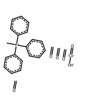 C[P+](c1ccccc1)(c1ccccc1)c1ccccc1.[C]=O.[C]=O.[C]=O.[C]=O.[O]=[Co-][OH]